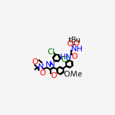 COc1cc2c(cc1-c1cccc(NC(=O)CNC(=O)OC(C)(C)C)c1)-c1c(c(C(=O)N3CCOCC3(C)C)nn1-c1cc(Cl)cc(Cl)c1)CO2